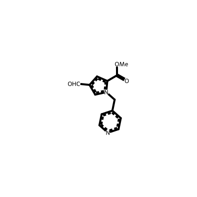 COC(=O)c1cc(C=O)cn1Cc1ccncc1